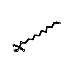 CCCCCCCCCCCCCCCCCCOP(=O)(O)C(C)C